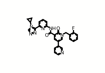 O=C(Nc1cccc(-c2nncn2C2CC2)n1)c1cc(-c2cccnc2)cn(Cc2ccccc2F)c1=O